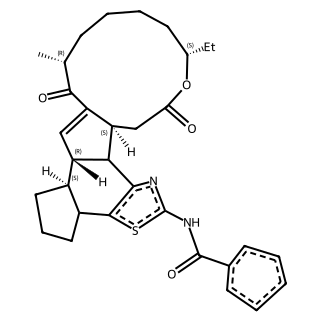 CC[C@H]1CCCC[C@@H](C)C(=O)C2=C[C@@H]3C(c4nc(NC(=O)c5ccccc5)sc4C4CCC[C@H]43)[C@@H]2CC(=O)O1